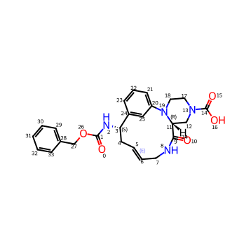 O=C(N[C@H]1C/C=C/CNC(=O)[C@H]2CN(C(=O)O)CCN2c2cccc1c2)OCc1ccccc1